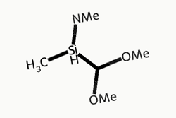 CN[SiH](C)C(OC)OC